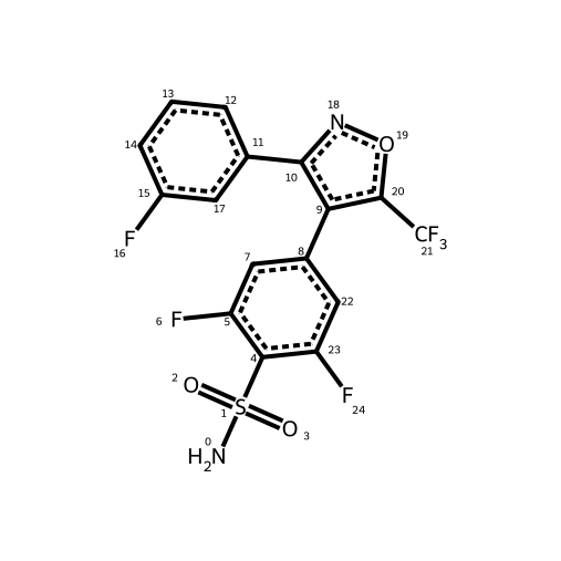 NS(=O)(=O)c1c(F)cc(-c2c(-c3cccc(F)c3)noc2C(F)(F)F)cc1F